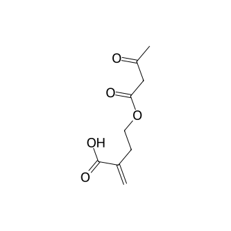 C=C(CCOC(=O)CC(C)=O)C(=O)O